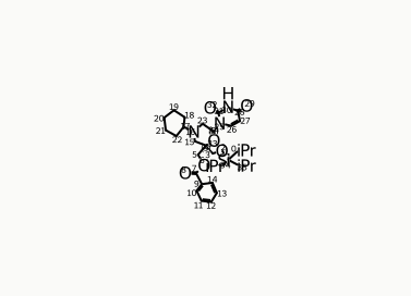 CC(C)[Si](OC[C@@]1(COC(=O)c2ccccc2)CN(C2CCCCC2)C[C@H](n2ccc(=O)[nH]c2=O)O1)(C(C)C)C(C)C